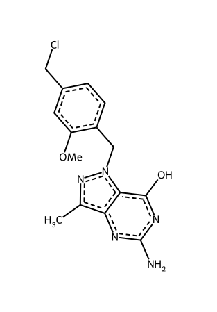 COc1cc(CCl)ccc1Cn1nc(C)c2nc(N)nc(O)c21